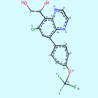 OCC(O)c1c(Cl)cc(-c2ccc(OC(F)(F)F)cc2)c2nccnc12